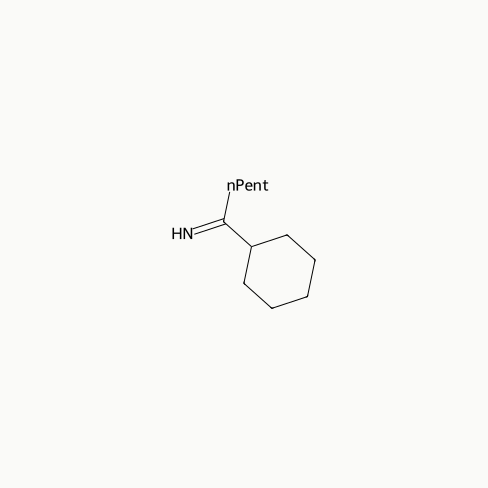 CC[CH]CCC(=N)C1CCCCC1